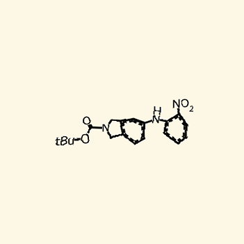 CC(C)(C)OC(=O)N1Cc2ccc(Nc3ccccc3[N+](=O)[O-])cc2C1